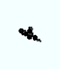 Cc1cccc(-n2c(-c3ccnc(N[C@H]4CC[C@H](C)CC4)n3)cn(CC3CCCOC3)c2=O)c1